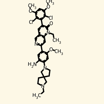 CCN1CCC2(CCN(c3cc(OC)c(-c4cc5c(cn4)cc(-c4c(Cl)c(OC)cc(OC)c4Cl)c(=O)n5CC)cc3N)C2)C1